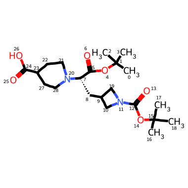 CC(C)(C)OC(=O)[C@H](CC1CN(C(=O)OC(C)(C)C)C1)N1CCC(C(=O)O)CC1